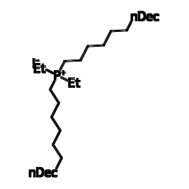 CCCCCCCCCCCCCCCC[P+](CC)(CC)CCCCCCCCCCCCCCCC.[I-]